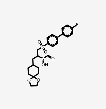 O=CN(O)C(CC1CCC2(CC1)OCCO2)CS(=O)(=O)c1ccc(-c2ccc(F)cc2)cc1